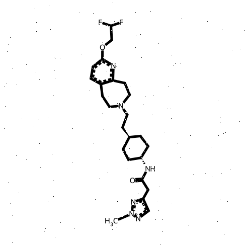 Cn1ncc(CC(=O)N[C@H]2CC[C@H](CCN3CCc4ccc(OCC(F)F)nc4CC3)CC2)n1